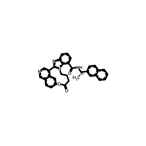 C[C@H](NC(=O)c1cccc2nc(-c3cncc4ccccc34)n(CCCC(=O)O)c12)c1ccc2ccccc2c1